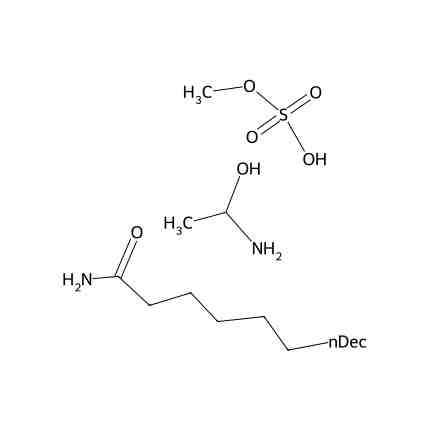 CC(N)O.CCCCCCCCCCCCCCCC(N)=O.COS(=O)(=O)O